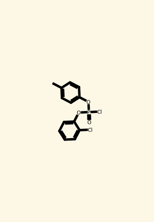 Cc1ccc(OP(=O)(Cl)Oc2ccccc2Cl)cc1